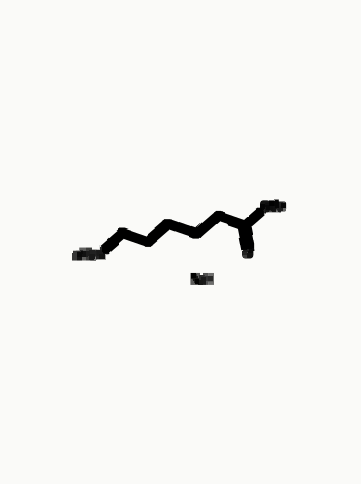 CCCCCCCCCCCC(=O)OC.[NaH]